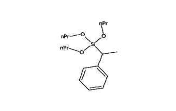 CCCO[Si](OCCC)(OCCC)C(C)c1ccccc1